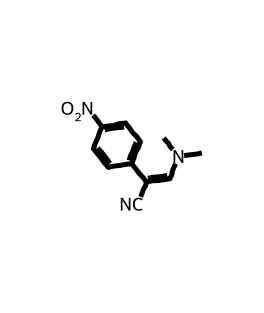 CN(C)/C=C(/C#N)c1ccc([N+](=O)[O-])cc1